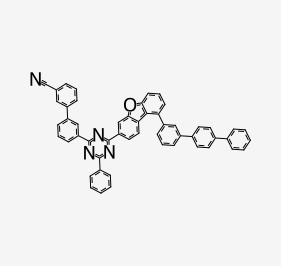 N#Cc1cccc(-c2cccc(-c3nc(-c4ccccc4)nc(-c4ccc5c(c4)oc4cccc(-c6cccc(-c7ccc(-c8ccccc8)cc7)c6)c45)n3)c2)c1